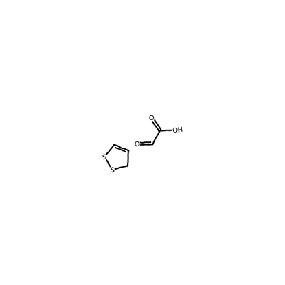 C1=CSSC1.O=CC(=O)O